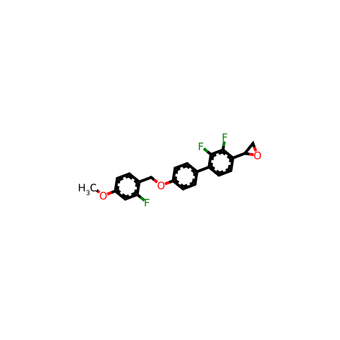 COc1ccc(COc2ccc(-c3ccc(C4CO4)c(F)c3F)cc2)c(F)c1